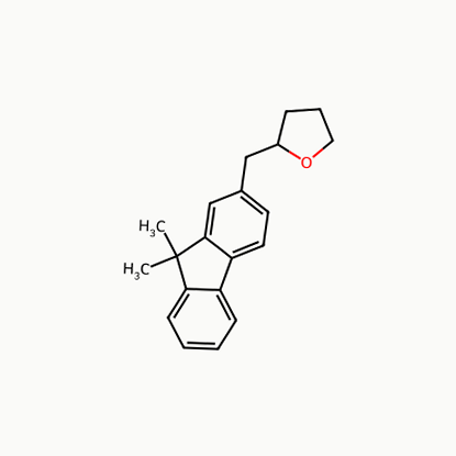 CC1(C)c2ccccc2-c2ccc(CC3CCCO3)cc21